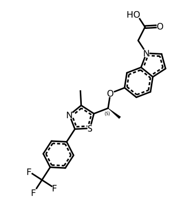 Cc1nc(-c2ccc(C(F)(F)F)cc2)sc1[C@H](C)Oc1ccc2ccn(CC(=O)O)c2c1